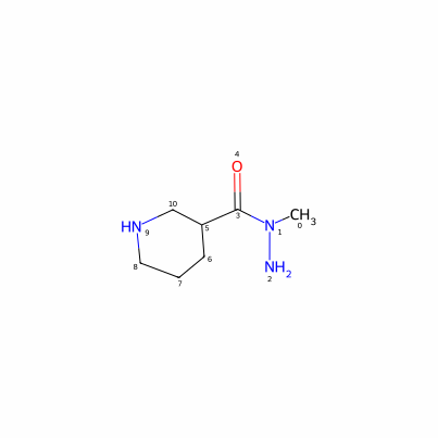 CN(N)C(=O)C1CCCNC1